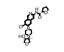 C[C@]1(N2CCN(c3cc4cc(NC(=O)[C@@H]5CCCO5)ncc4cc3Cl)CC2)COC[C@H]1O